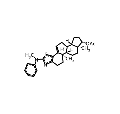 CC(=O)O[C@H]1CC[C@H]2[C@@H]3CC=C4c5sc(N(C)c6ccccc6)nc5CC[C@]4(C)[C@H]3CC[C@]12C